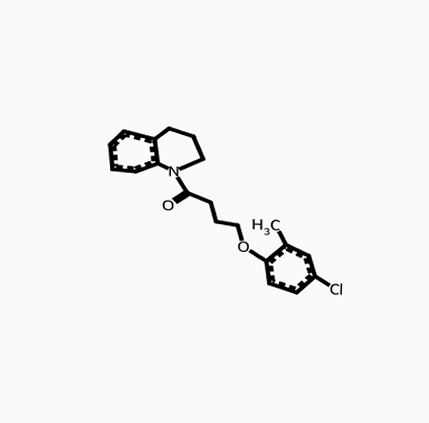 Cc1cc(Cl)ccc1OCCCC(=O)N1CCCc2ccccc21